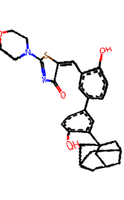 O=C1N=C(N2CCOCC2)SC1=Cc1cc(-c2ccc(O)c(C34CC5CC(CC(C5)C3)C4)c2)ccc1O